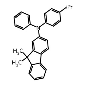 CC(C)c1ccc(N(c2ccccc2)c2ccc3c(c2)C(C)(C)c2ccccc2-3)cc1